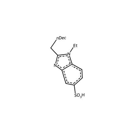 CCCCCCCCCCCc1nc2cc(S(=O)(=O)O)ccc2n1CC